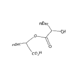 CCCCCCCCCCC(O)C(=O)OC(CCCCCCCCCC)C(=O)O